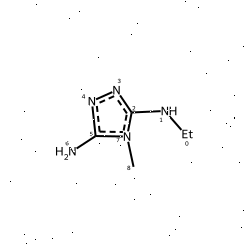 CCNc1nnc(N)n1C